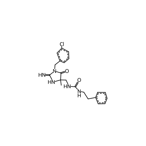 CC1(CNC(=O)NCCc2ccccc2)NC(=N)N(Cc2cccc(Cl)c2)C1=O